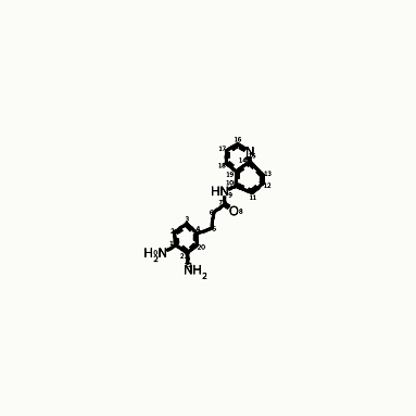 Nc1ccc(CCC(=O)Nc2cccc3ncccc23)cc1N